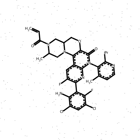 C=CC(=O)N1CC2COc3c(c4cc(F)c(-c5c(N)c(Cl)cc(Cl)c5F)nc4n(-c4c(C)ccnc4C(C)C)c3=O)N2CC1C